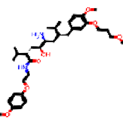 COCCCOc1cc(C[C@@H](C[C@H](N)[C@@H](O)C[C@H](C(=O)NCCOc2ccc(OC)cc2)C(C)C)C(C)C)ccc1OC